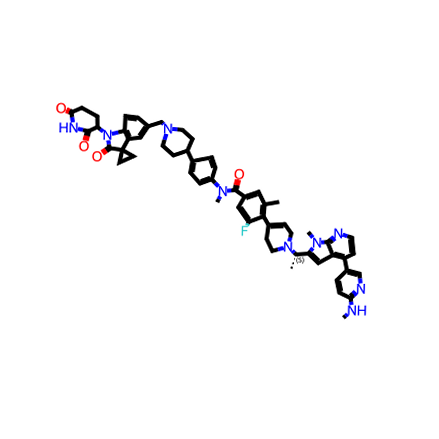 CNc1ccc(-c2ccnc3c2cc([C@H](C)N2CC=C(c4c(C)cc(C(=O)N(C)c5ccc(C6CCN(Cc7ccc8c(c7)C7(CC7)C(=O)N8C7CCC(=O)NC7=O)CC6)cc5)cc4F)CC2)n3C)cn1